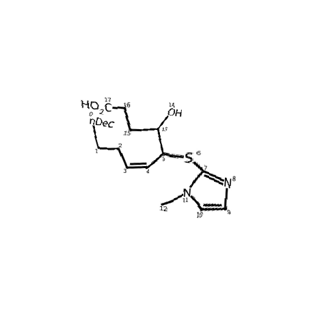 CCCCCCCCCCCC/C=C\C(Sc1nccn1C)C(O)CCC(=O)O